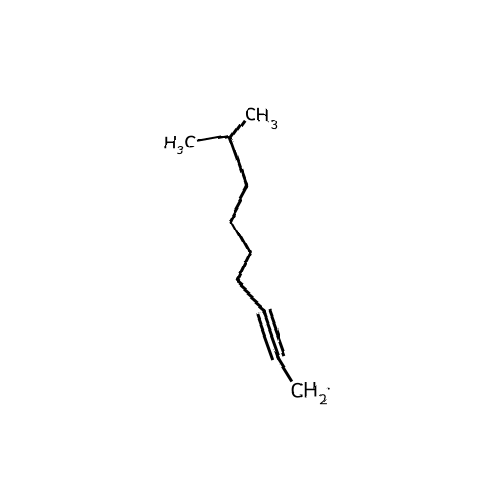 [CH2]C#CCCCCC(C)C